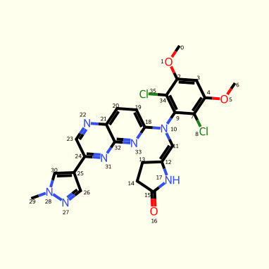 COc1cc(OC)c(Cl)c(N(/C=C2\CCC(=O)N2)c2ccc3ncc(-c4cnn(C)c4)nc3n2)c1Cl